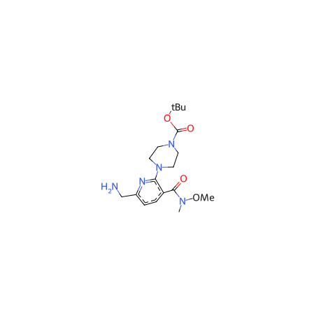 CON(C)C(=O)c1ccc(CN)nc1N1CCN(C(=O)OC(C)(C)C)CC1